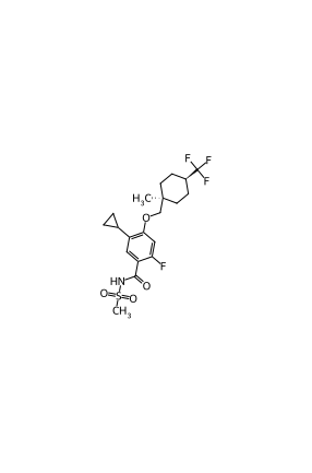 CS(=O)(=O)NC(=O)c1cc(C2CC2)c(OC[C@]2(C)CC[C@H](C(F)(F)F)CC2)cc1F